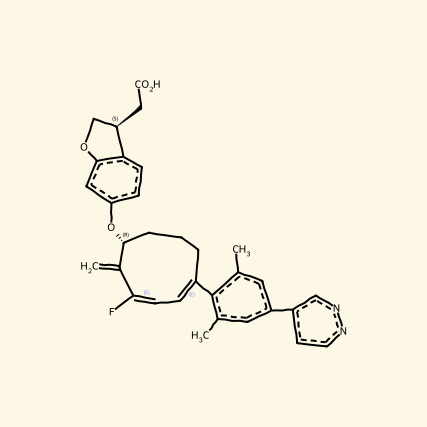 C=C1/C(F)=C\C=C(\c2c(C)cc(-c3ccnnc3)cc2C)CCC[C@H]1Oc1ccc2c(c1)OC[C@H]2CC(=O)O